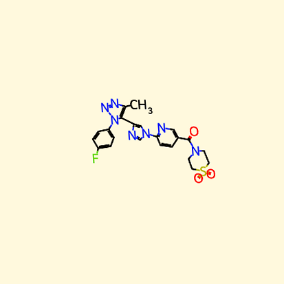 Cc1nnn(-c2ccc(F)cc2)c1-c1cn(-c2ccc(C(=O)N3CCS(=O)(=O)CC3)cn2)cn1